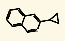 c1ccc2cc(C3CC3)ncc2c1